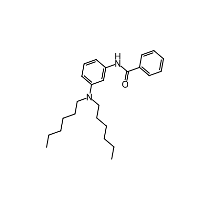 CCCCCCN(CCCCCC)c1cccc(NC(=O)c2ccccc2)c1